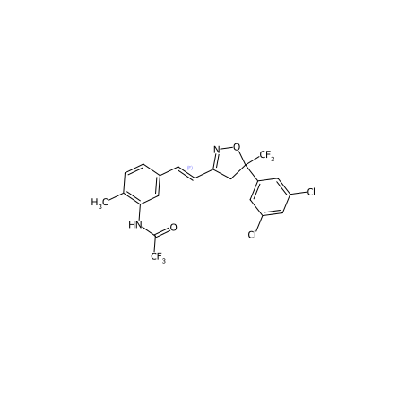 Cc1ccc(/C=C/C2=NOC(c3cc(Cl)cc(Cl)c3)(C(F)(F)F)C2)cc1NC(=O)C(F)(F)F